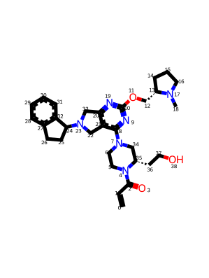 C=CC(=O)N1CCN(c2nc(OC[C@@H]3CCCN3C)nc3c2CN(C2CCc4ccccc42)C3)C[C@@H]1CCO